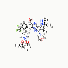 CC(C)(C)Nc1cc(N2CCOCC2)nn2c(Cc3cccc(C(F)(F)F)c3C3CCN(C(=O)OC(C)(C)C)CC3)c(CO)nc12